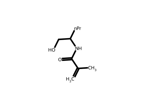 C=C(C)C(=O)NC(CO)CCC